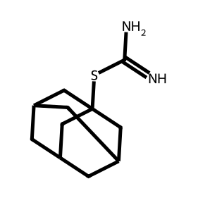 N=C(N)SC12CC3CC(CC(C3)C1)C2